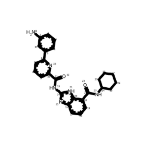 Nc1cccc(-c2cccc(C(=O)Nc3nc4cccc(C(=O)NC5CCCCC5)c4[nH]3)n2)c1